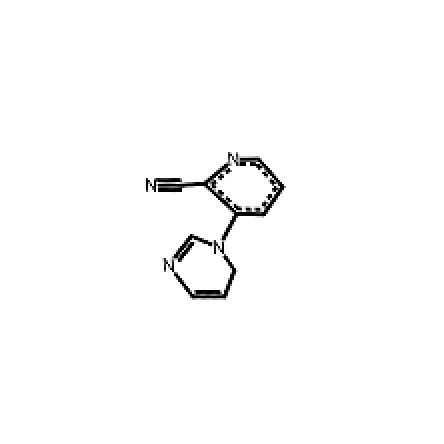 N#Cc1ncccc1N1C=NC=CC1